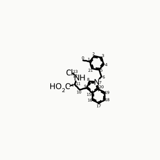 Cc1cccc(Cn2cc(C[C@H](NCl)C(=O)O)c3ccccc32)c1